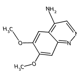 COc1cc2nncc(N)c2cc1OC